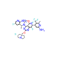 Cc1nc(N)cc(-c2nc3c4c(nc(OC[C@@]56CCCN5C[C@H](F)C6)nc4c2F)N([C@@H](C)c2cc(F)cnc2N)CCO3)c1C(F)(F)F